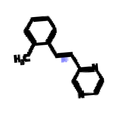 Cc1ccccc1/C=C/c1cnccn1